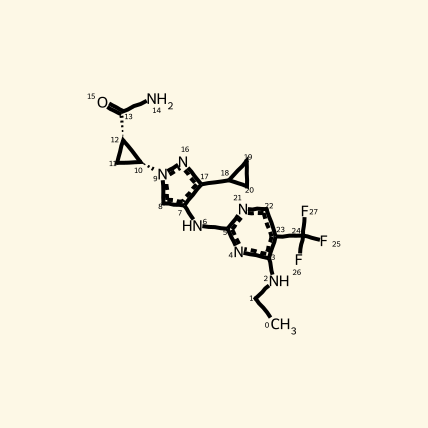 CCNc1nc(Nc2cn([C@@H]3C[C@@H]3C(N)=O)nc2C2CC2)ncc1C(F)(F)F